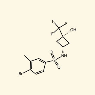 Cc1cc(S(=O)(=O)N[C@H]2C[C@](O)(C(F)(F)F)C2)ccc1Br